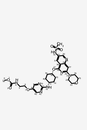 CC(C)(C)OC(=O)NCCOc1cnc(N[C@H]2CC[C@@H](Oc3nc(N4CCOCC4)cc4ncc(NS(C)(=O)=O)cc34)CC2)nc1